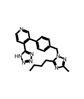 CCCCc1nc(C)nn1Cc1ccc(-c2cnccc2-c2nnn[nH]2)cc1